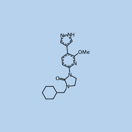 COc1nc(N2CCN(CC3CCCCC3)C2=O)ccc1-c1cn[nH]c1